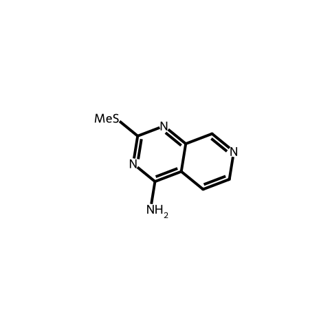 CSc1nc(N)c2ccncc2n1